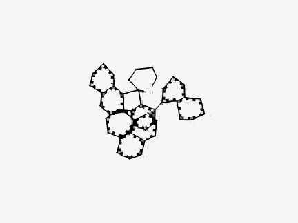 c1ccc2c(-c3ccc4ccccc4c3C3(c4c(-c5cccc6ccccc56)ccc5ccccc45)CCCCO3)cccc2c1